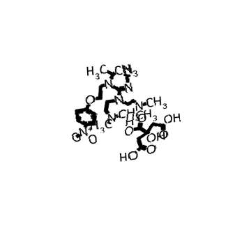 CC(C)N(CCOc1ccc([N+](=O)[O-])cc1)/C(=N\C#N)N(CCN(C)C)CCN(C)C.O=C(O)CC(O)(CC(=O)O)C(=O)O